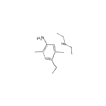 CCNCC.CCc1cc(C)c(N)cc1C